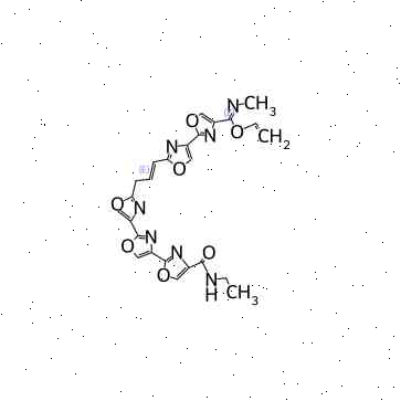 C=CO/C(=N\C)c1coc(-c2coc(/C=C/Cc3nc(-c4nc(-c5nc(C(=O)NCC)co5)co4)co3)n2)n1